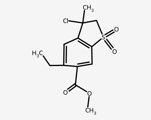 CCc1cc2c(cc1C(=O)OC)S(=O)(=O)CC2(C)Cl